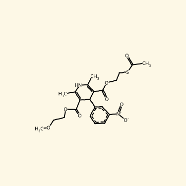 COCCOC(=O)C1=C(C)NC(C)=C(C(=O)OCCSC(C)=O)C1c1cccc([N+](=O)[O-])c1